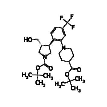 CC(C)(C)OC(=O)C1CCN(c2cc(C(F)(F)F)ccc2[C@H]2CN(C(=O)OC(C)(C)C)C[C@@H]2CO)CC1